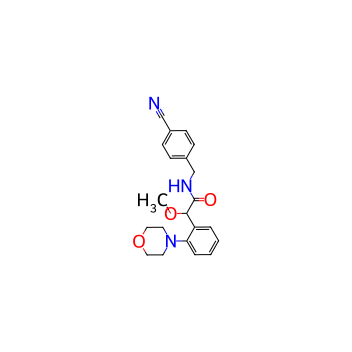 COC(C(=O)NCc1ccc(C#N)cc1)c1ccccc1N1CCOCC1